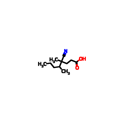 CCCC(C)C(C)(C#N)CCC(=O)O